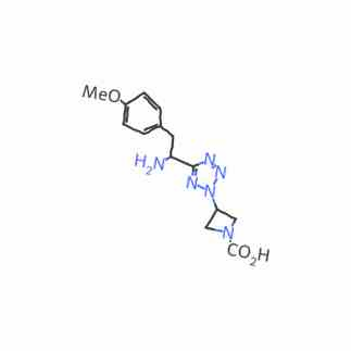 COc1ccc(C[C@H](N)c2nnn(C3CN(C(=O)O)C3)n2)cc1